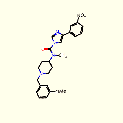 COc1cccc(CN2CCC(N(C)C(=O)n3cnc(-c4cccc([N+](=O)[O-])c4)c3)CC2)c1